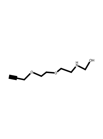 C#CCOCCOCCNCO